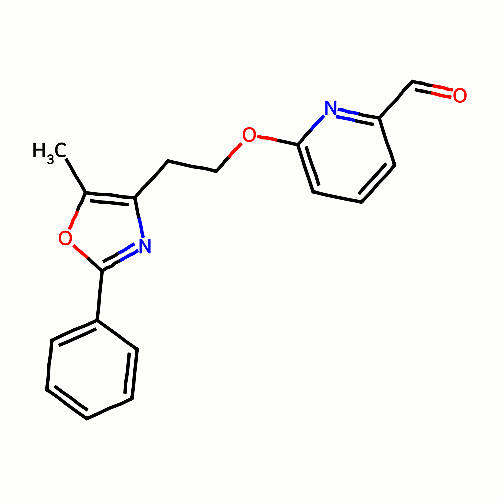 Cc1oc(-c2ccccc2)nc1CCOc1cccc(C=O)n1